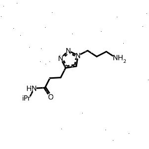 CC(C)NC(=O)CCc1cn(CCCN)nn1